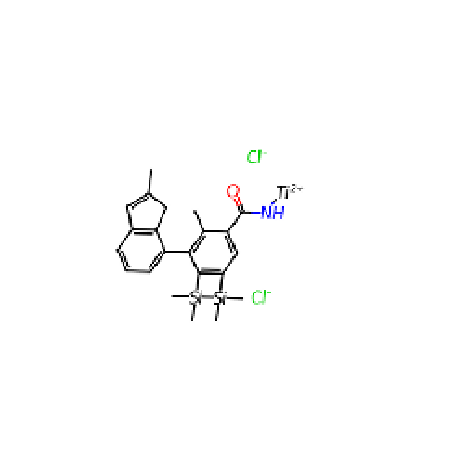 CC1=Cc2cccc(-c3c(C)c(C(=O)[NH][Ti+2])cc4c3[Si](C)(C)[Si]4(C)C)c2C1.[Cl-].[Cl-]